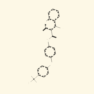 O=C(Nc1ccc(Oc2ccc(C(F)(F)F)cc2)cc1)c1c(O)c2ccccc2oc1=O